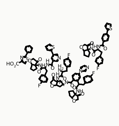 NC(=O)c1ccc(-n2ccnc2)cc1C(Cc1ccc(F)cc1)C(=O)NC12CCCC1OCC2=O.NC(Cc1ccc(F)cc1)C(=O)NC12CCCC1OCC2=O.O=C(NC(Cc1ccc(F)cc1)C(=O)NC12CCCC1OCC2=O)c1ccc(-c2cccs2)cc1.O=C(NC(Cc1ccc(F)cc1)C(=O)NC12CCCC1OCC2=O)c1cncc(-c2cccs2)c1.O=C(O)c1csc(-c2ccccc2)n1